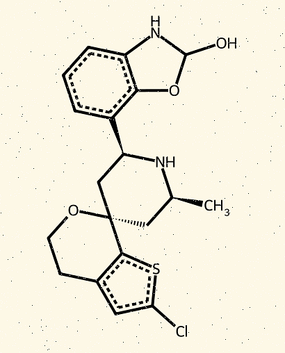 C[C@H]1C[C@@]2(C[C@@H](c3cccc4c3OC(O)N4)N1)OCCc1cc(Cl)sc12